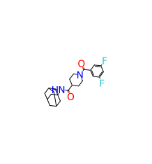 O=C(NC12CC3CC(CC(C3)C1)C2)C1CCN(C(=O)c2cc(F)cc(F)c2)CC1